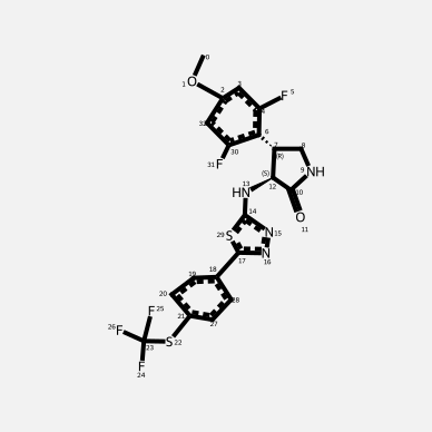 COc1cc(F)c([C@@H]2CNC(=O)[C@H]2Nc2nnc(-c3ccc(SC(F)(F)F)cc3)s2)c(F)c1